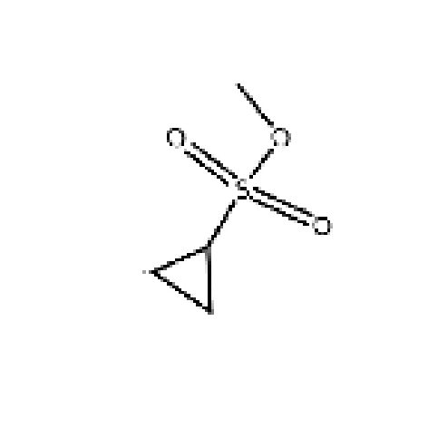 COS(=O)(=O)C1[CH]C1